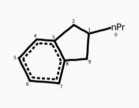 CCCC1Cc2ccccc2C1